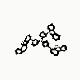 c1cc(-c2cccc3oc4c5ccccc5ccc4c23)cc(N(c2ccc(-c3cccc4c3oc3ccccc34)cc2)c2cccc(-n3c4ccccc4c4ccccc43)c2)c1